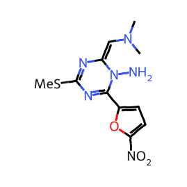 CSC1=NC(=CN(C)C)N(N)C(c2ccc([N+](=O)[O-])o2)=N1